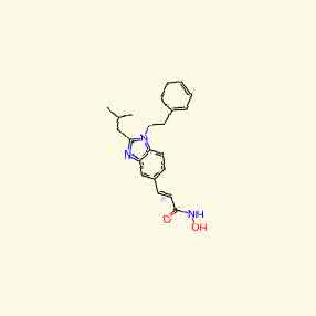 CC(C)Cc1nc2cc(/C=C/C(=O)NO)ccc2n1CCC1=CC=CCC1